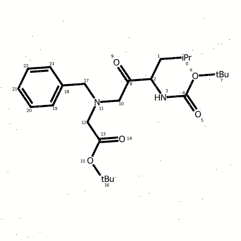 CC(C)CC(NC(=O)OC(C)(C)C)C(=O)CN(CC(=O)OC(C)(C)C)Cc1ccccc1